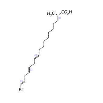 CC/C=C/C/C=C/C/C=C/CCCCCCC/C=C(\C)C(=O)O